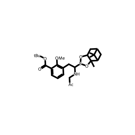 COc1c(CC(NCC(C)=O)B2OC3CC4CC(C4(C)C)C3(C)O2)cccc1C(=O)OC(C)(C)C